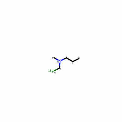 CCCN(C)C[18F]